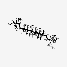 CO[Si](CCC(F)(F)C(F)(F)C(F)(F)C(F)(F)C(F)(F)C(F)(F)CC[Si](OC)(OC)OC)(OC)OC